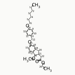 CCCCCCCOc1ccc(COc2ccc3c(c2)CC(CC(=O)OCC)C3OC)cc1